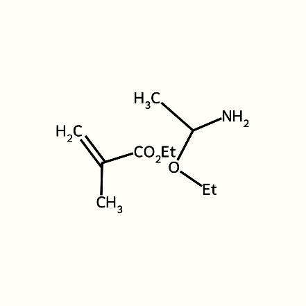 C=C(C)C(=O)OCC.CCOC(C)N